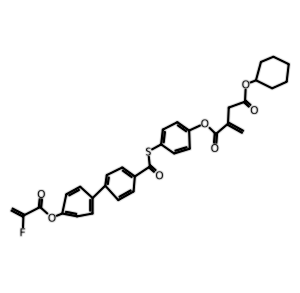 C=C(F)C(=O)Oc1ccc(-c2ccc(C(=O)Sc3ccc(OC(=O)C(=C)CC(=O)OC4CCCCC4)cc3)cc2)cc1